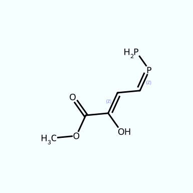 COC(=O)/C(O)=C/C=P\P